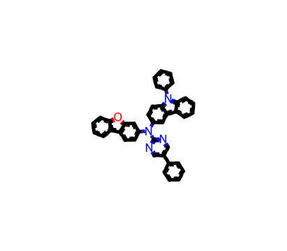 c1ccc(-c2cnc(N(c3ccc4c(c3)oc3ccccc34)c3ccc4c(c3)c3ccccc3n4-c3ccccc3)nc2)cc1